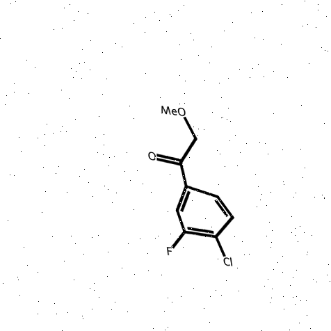 COCC(=O)c1ccc(Cl)c(F)c1